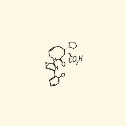 O=C(O)C[C@@H]1C(=O)N(c2nc(-c3ccccc3Cl)cs2)C/C=C\C[C@@H]1C1CCCC1